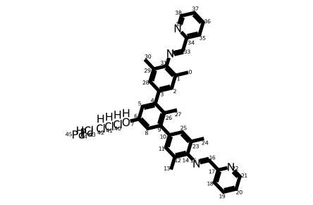 Cc1cc(-c2cc(O)cc(-c3cc(C)c(N=Cc4ccccn4)c(C)c3)c2C)cc(C)c1N=Cc1ccccn1.Cl.Cl.Cl.Cl.[Pd].[Pd]